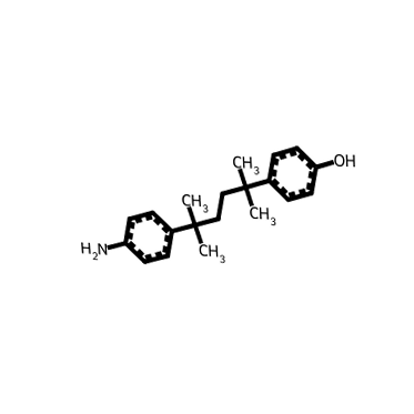 CC(C)(CCC(C)(C)c1ccc(O)cc1)c1ccc(N)cc1